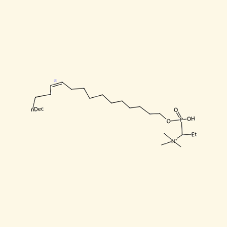 CCCCCCCCCCCC/C=C\CCCCCCCCCCOP(=O)(O)C(CC)[N+](C)(C)C